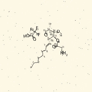 CCCCCCCC=C[C@@H]1OC[C@H](C)[C@H](OC)[C@H]1OC(=O)CN.O=C(O)C(F)(F)F